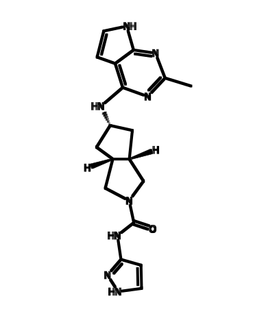 Cc1nc(N[C@@H]2C[C@@H]3CN(C(=O)Nc4cc[nH]n4)C[C@@H]3C2)c2cc[nH]c2n1